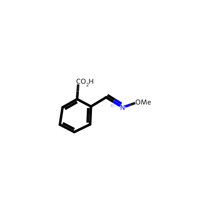 CO/N=C/c1ccccc1C(=O)O